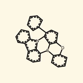 c1ccc(-c2ccc3c4c2-n2c5ccccc5c5cccc(c52)B4c2ccccc2O3)cc1